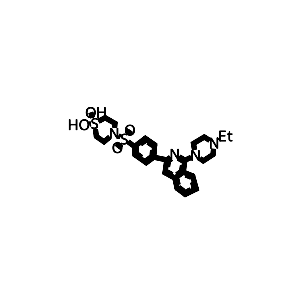 CCN1CCN(c2nc(-c3ccc(S(=O)(=O)N4CCS(O)(O)CC4)cc3)cc3ccccc23)CC1